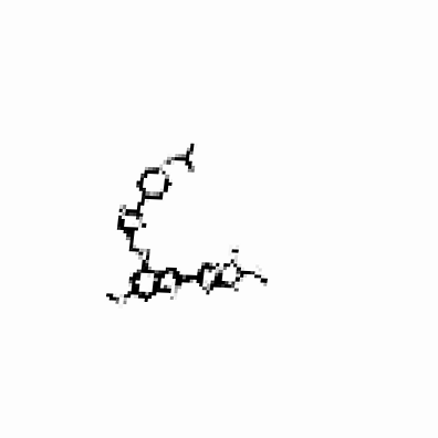 COc1cc(OCc2csc(C3CCN(SC(C)C)CC3)n2)c2cc(-c3cn4c(n3)SC(OC)N4)oc2c1